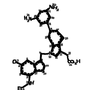 CCNc1cc(Cl)cc2c(Cn3cc(CC(=O)O)c4ccc(-c5cc(N)cc(N)c5)cc43)csc12